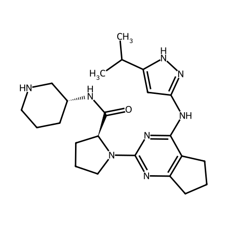 CC(C)c1cc(Nc2nc(N3CCC[C@H]3C(=O)N[C@@H]3CCCNC3)nc3c2CCC3)n[nH]1